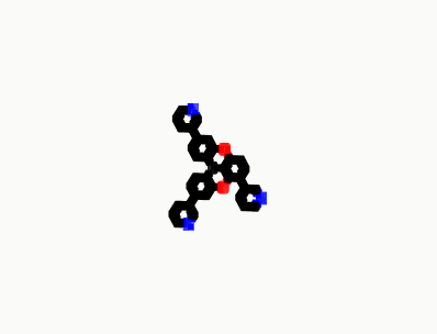 c1cncc(-c2ccc3c(c2)Oc2ccc(-c4cccnc4)c4c2B3c2ccc(-c3cccnc3)cc2O4)c1